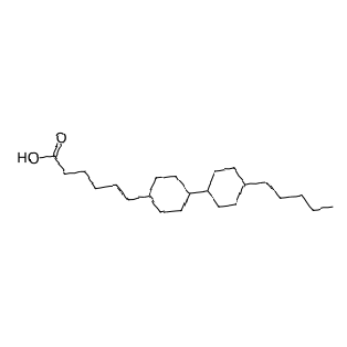 CCCCCC1CCC(C2CCC(CCCCCC(=O)O)CC2)CC1